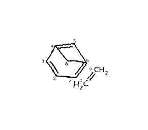 C=C.c1cc2cc(c1)C2